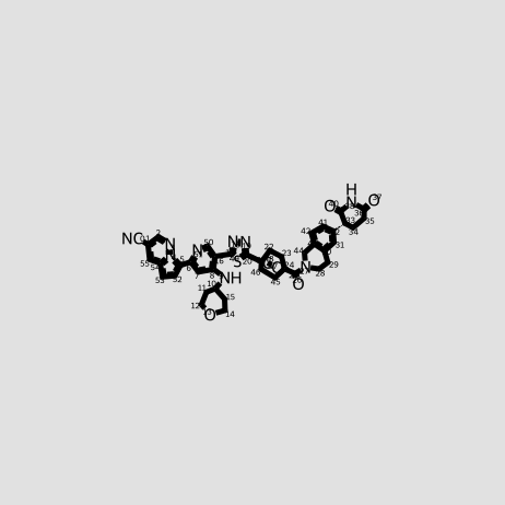 N#Cc1cnn2c(-c3cc(NC4CCOCC4)c(-c4nnc(C56CCC(C(=O)N7CCc8cc([C@H]9CCC(=O)NC9=O)ccc8C7)(CC5)CC6)s4)cn3)ccc2c1